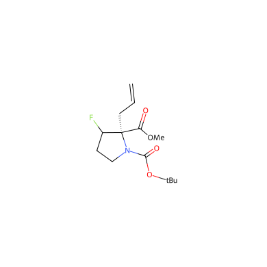 C=CC[C@@]1(C(=O)OC)C(F)CCN1C(=O)OC(C)(C)C